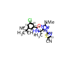 CNc1nc([C@H](C)NC(=O)c2cc(Cl)cc(C(C)(C)C#N)c2)n(-c2ncc(C#N)s2)n1